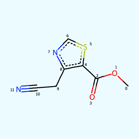 COC(=O)c1scnc1CC#N